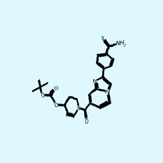 CC(C)(C)OC(=O)OC1CCN(C(=O)c2ccn3cc(-c4ccc(C(N)=S)cc4)nc3c2)CC1